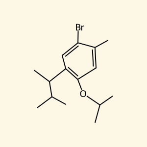 Cc1cc(OC(C)C)c(C(C)C(C)C)cc1Br